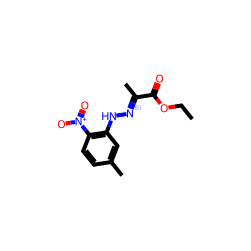 CCOC(=O)/C(C)=N/Nc1cc(C)ccc1[N+](=O)[O-]